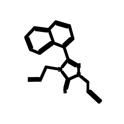 C=CCn1nc(-c2cccc3ccccc23)n(CC=C)c1=S